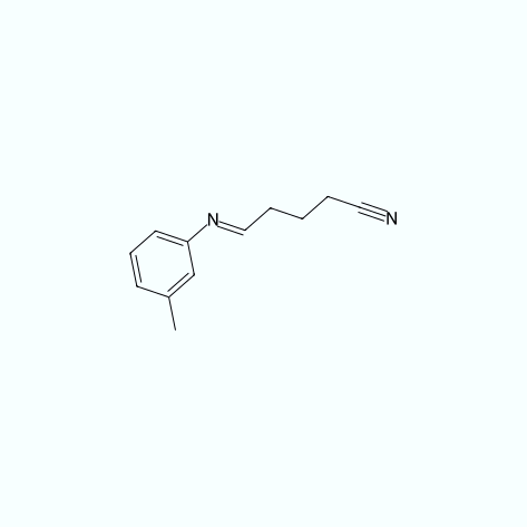 Cc1cccc(N=CCCCC#N)c1